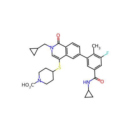 Cc1c(F)cc(C(=O)NC2CC2)cc1-c1ccc2c(=O)n(CC3CC3)cc(SC3CCN(C(=O)O)CC3)c2c1